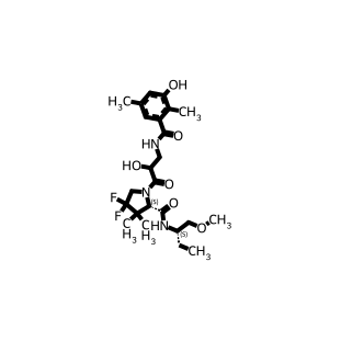 CC[C@@H](COC)NC(=O)[C@H]1N(C(=O)C(O)CNC(=O)c2cc(C)cc(O)c2C)CC(F)(F)C1(C)C